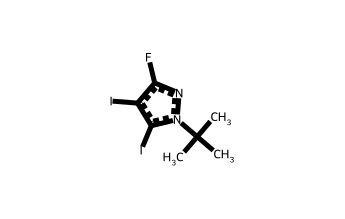 CC(C)(C)n1nc(F)c(I)c1I